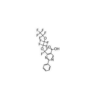 O=C(O)c1cnc(-c2ccccc2)nc1C(F)(F)OC(F)(F)C(F)(F)OC(F)(F)C(F)(F)F